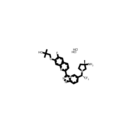 CC(C)(O)COc1cc2nc(-c3nnc4ccc([C@H](N5CC[C@](C)(N)C5)C(F)(F)F)cn34)ccc2cc1F.Cl.Cl